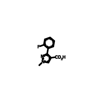 Cn1cc(C(=O)O)c(-c2ccccc2F)n1